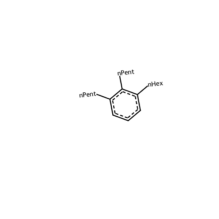 CCCCCCc1cccc(CCCCC)c1CCCCC